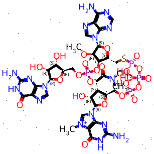 CO[C@@H]1[C@H](OP(=O)([O-])OC[C@H]2O[C@@H](n3cnc4c(=O)[nH]c(N)nc43)[C@H](O)[C@@H]2O)[C@@H](CSP(=O)(O)OP(=O)(O)OP(=O)(O)OC[C@H]2O[C@@H](n3c[n+](C)c4c(=O)[nH]c(N)nc43)[C@H](O)[C@@H]2CC(=O)N(C)C)O[C@H]1n1cnc2c(N)ncnc21